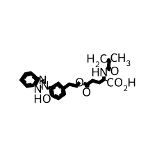 C=C(C)C(=O)N[C@@H](CCC(=O)OCCc1ccc(O)c(-n2nc3ccccc3n2)c1)C(=O)O